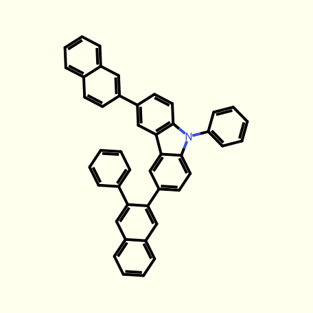 c1ccc(-c2cc3ccccc3cc2-c2ccc3c(c2)c2cc(-c4ccc5ccccc5c4)ccc2n3-c2ccccc2)cc1